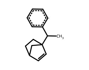 CC(c1[c]cccc1)C12C=CC(CC1)C2